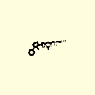 Cc1c(-c2ccccc2)cccc1-c1cc2cc(CNCCO)nc(C)n2n1